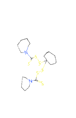 S=C(SSC1(SSC(=S)N2CCCCC2)CCCCC1)N1CCCCC1